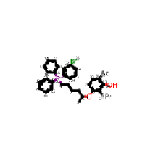 CCCc1c(OC(C)CCCC[P+](c2ccccc2)(c2ccccc2)c2ccccc2)ccc(C(C)=O)c1O.[Br-]